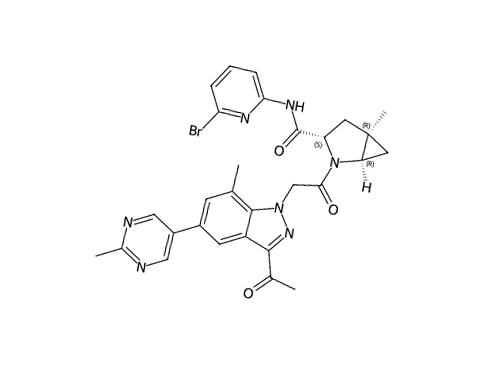 CC(=O)c1nn(CC(=O)N2[C@H](C(=O)Nc3cccc(Br)n3)C[C@@]3(C)C[C@@H]23)c2c(C)cc(-c3cnc(C)nc3)cc12